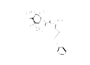 NC(CCCCOCc1ccccc1)NC(=O)C(=O)O[C@H]1[C@@H](O)[C@H](O)[C@@H](O)[C@H](O)[C@H]1OP(=O)(O)O